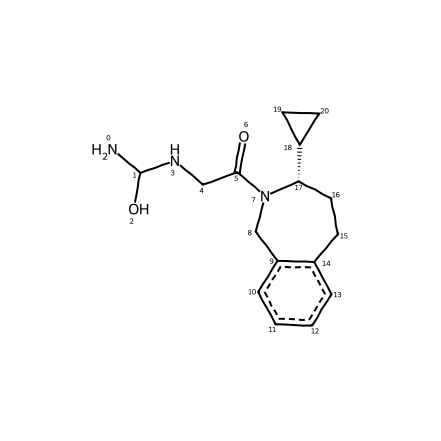 NC(O)NCC(=O)N1Cc2ccccc2CC[C@H]1C1CC1